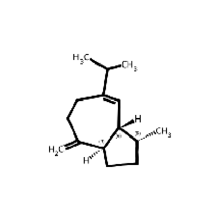 C=C1CCC(C(C)C)=C[C@@H]2[C@H](C)CC[C@@H]12